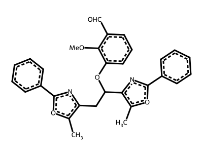 COc1c(C=O)cccc1OC(Cc1nc(-c2ccccc2)oc1C)c1nc(-c2ccccc2)oc1C